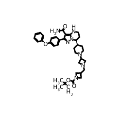 CC(C)(C)OC(=O)N1CC(CN2CC(N3CCC([C@@H]4CCNc5c(C(N)=O)c(-c6ccc(Oc7ccccc7)cc6)nn54)CC3)C2)C1